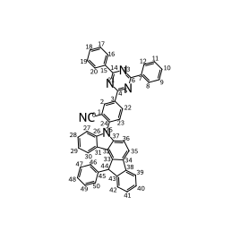 N#Cc1cc(-c2nc(-c3ccccc3)nc(-c3ccccc3)n2)ccc1-n1c2ccccc2c2c3c(ccc21)-c1ccccc1C3c1ccccc1